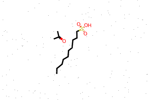 CC(C)=O.CCCCCCCCCCS(=O)(=O)O